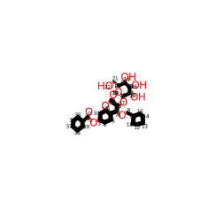 O=C(Oc1ccc2c(OCc3ccccc3)c(O[C@@H]3O[C@H](CO)[C@@H](O)[C@H](O)[C@H]3O)c(=O)oc2c1)c1ccccc1